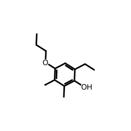 CCCOc1cc(CC)c(O)c(C)c1C